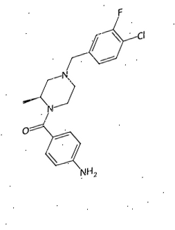 C[C@H]1CN(Cc2ccc(Cl)c(F)c2)CCN1C(=O)c1ccc(N)cc1